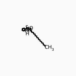 CCCCCCCCCCCCCCCCCCCNC(=O)[C@H]1CSC(c2ccccc2)N1